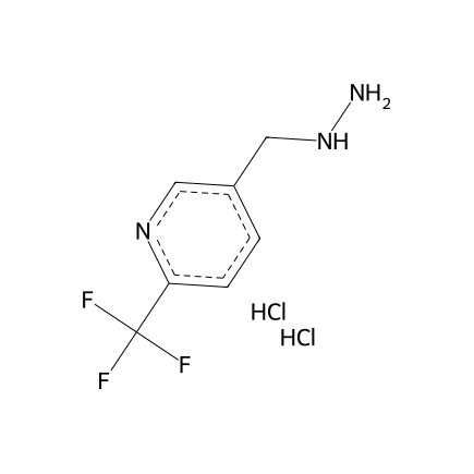 Cl.Cl.NNCc1ccc(C(F)(F)F)nc1